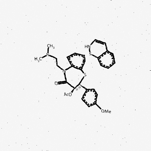 C1=Cc2ccccc2SN1.COc1ccc([C@@H]2Sc3ccccc3N(CCN(C)C)C(=O)[C@@H]2OC(C)=O)cc1